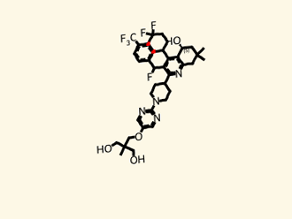 CC1(C)Cc2nc(C3CCN(c4ncc(OCC(C)(CO)CO)cn4)CC3)c(C(F)c3ccc(C(F)(F)F)cc3)c(C3CCC(F)(F)CC3)c2[C@@H](O)C1